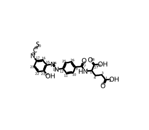 O=C(O)CCC(NC(=O)c1ccc(N=Nc2cc(N=C=S)ccc2O)cc1)C(=O)O